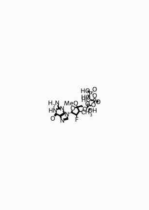 CO[C@]1(COP(=O)(O)OP(=O)(O)OP(=O)(O)O)O[C@@H](n2cnc3c(=O)[nH]c(N)nc32)[C@H](F)[C@@H]1C